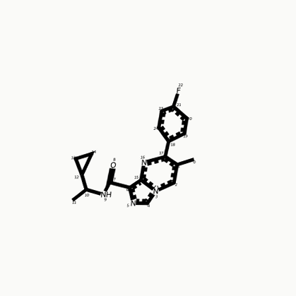 Cc1cn2cnc(C(=O)NC(C)C3CC3)c2nc1-c1ccc(F)cc1